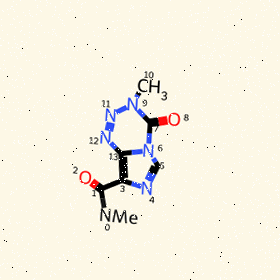 CNC(=O)c1ncn2c(=O)n(C)nnc12